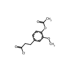 COc1cc(CCC(=O)Cl)ccc1OC(C)=O